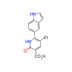 CCc1cc(C(=O)O)c(=O)[nH]c1-c1ccc2[nH]ccc2c1